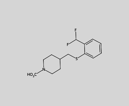 O=C(O)N1CCC(CSc2ccccc2C(F)F)CC1